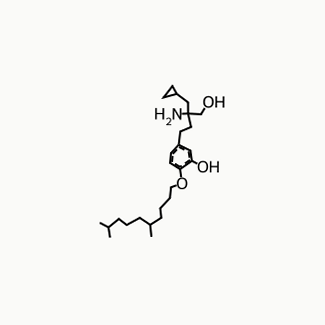 CC(C)CCCC(C)CCCCOc1ccc(CCC(N)(CO)CC2CC2)cc1O